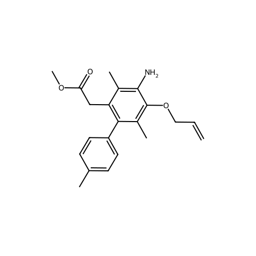 C=CCOc1c(C)c(-c2ccc(C)cc2)c(CC(=O)OC)c(C)c1N